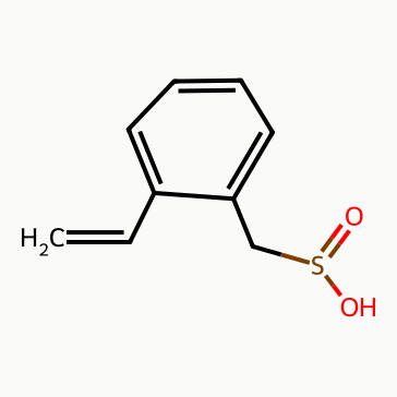 C=Cc1ccccc1CS(=O)O